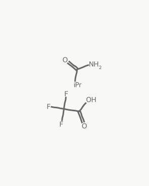 CC(C)C(N)=O.O=C(O)C(F)(F)F